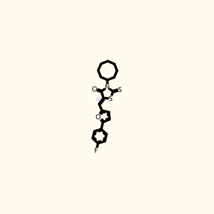 O=C1/C(=C/c2ccc(-c3ccc(F)cc3)o2)SC(=S)N1C1CCCCCCC1